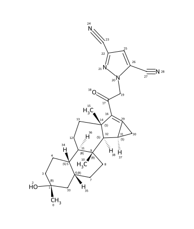 C[C@@]1(O)CC[C@H]2[C@H](CC[C@]3(C)[C@@H]2CC[C@]2(C)C(C(=O)Cn4nc(C#N)cc4C#N)=C4C[C@H]4[C@@H]32)C1